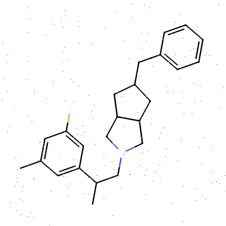 Cc1cc(F)cc(C(C)CN2CC3CC(Cc4ccccc4)CC3C2)c1